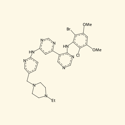 CCN1CCN(Cc2ccc(Nc3cc(-c4cncnc4Nc4c(Cl)c(OC)cc(OC)c4Br)ncn3)nc2)CC1